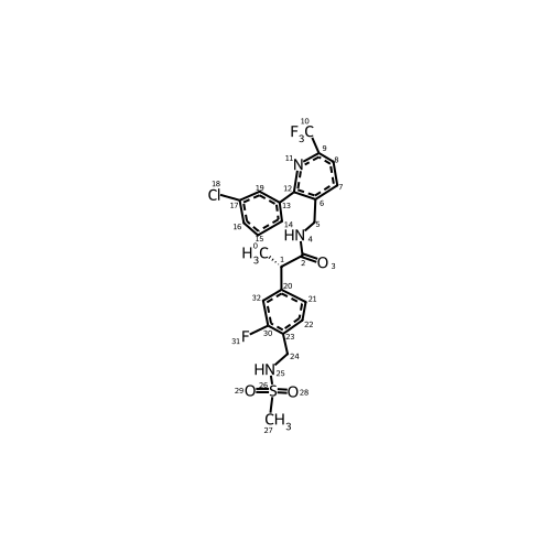 C[C@H](C(=O)NCc1ccc(C(F)(F)F)nc1-c1cccc(Cl)c1)c1ccc(CNS(C)(=O)=O)c(F)c1